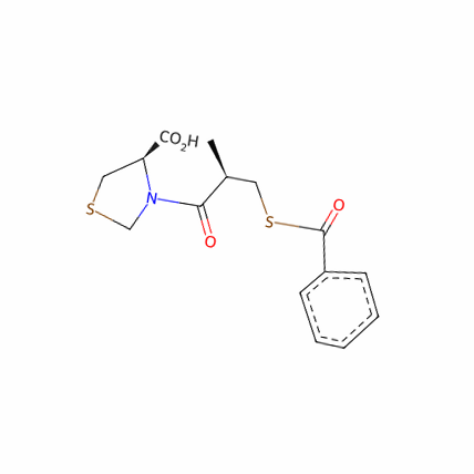 C[C@@H](CSC(=O)c1ccccc1)C(=O)N1CSC[C@H]1C(=O)O